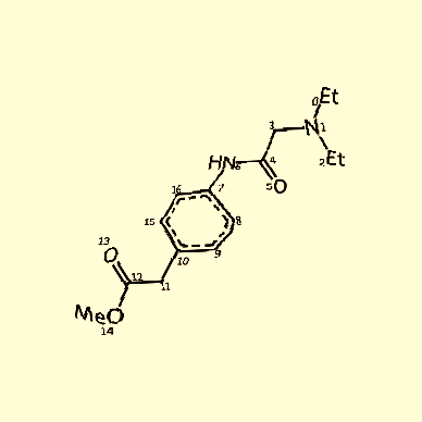 CCN(CC)CC(=O)Nc1ccc(CC(=O)OC)cc1